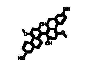 COc1cc(O)c(-c2c(O)cc(OC)c3c2ccc2cc(O)ccc23)c2c1-c1ccc(O)cc1CC2